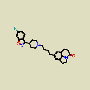 O=C1CCc2cc(CCCCN3CCC(c4noc5cc(F)ccc45)CC3)cc3c2N1CC3